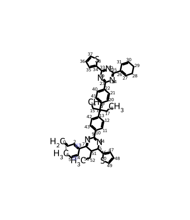 C=C/C=C(\C=C/C)C1=NC(c2ccc(C(CC)(CC)c3ccc(-c4nc(C5=CCCC=C5)nc(-c5cccs5)n4)cc3)cc2)=NC(c2cccs2)C1CC